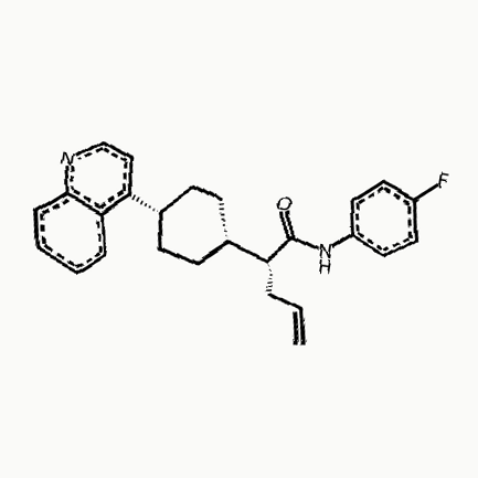 C=CC[C@@H](C(=O)Nc1ccc(F)cc1)[C@H]1CC[C@@H](c2ccnc3ccccc32)CC1